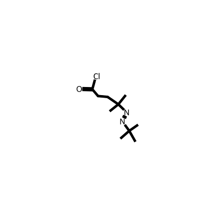 CC(C)(C)N=NC(C)(C)CCC(=O)Cl